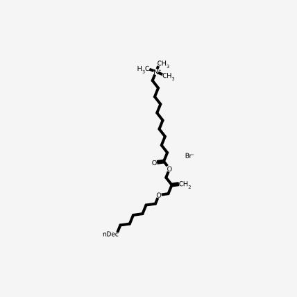 C=C(COCCCCCCCCCCCCCCCC)COC(=O)CCCCCCCCCC[N+](C)(C)C.[Br-]